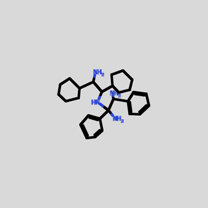 NC(C1CCCCC1)C(NC(N)(c1ccccc1)C(N)c1ccccc1)C1CCCCC1